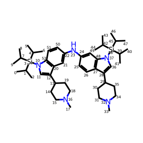 CC(C)[Si](C(C)C)(C(C)C)n1cc(C2CCN(C)CC2)c2cc(Nc3ccc4c(C5CCN(C)CC5)cn([Si](C(C)C)(C(C)C)C(C)C)c4c3)ccc21